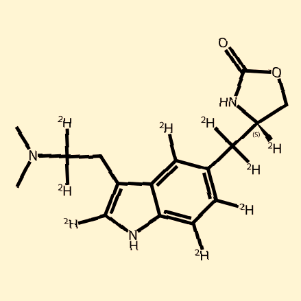 [2H]c1[nH]c2c([2H])c([2H])c(C([2H])([2H])[C@@]3([2H])COC(=O)N3)c([2H])c2c1CC([2H])([2H])N(C)C